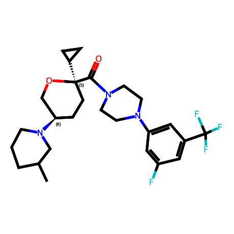 CC1CCCN([C@@H]2CC[C@@](C(=O)N3CCN(c4cc(F)cc(C(F)(F)F)c4)CC3)(C3CC3)OC2)C1